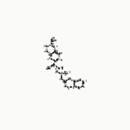 O=C(NCC(O)CN1CCc2ccccc2C1)c1ccc2cc(O)ccc2c1